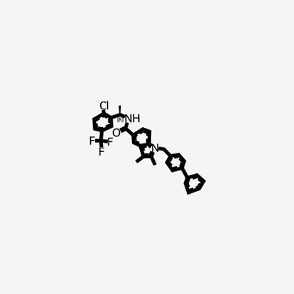 Cc1c(C)n(Cc2ccc(-c3ccccc3)cc2)c2ccc(C(=O)N[C@H](C)c3cc(C(F)(F)F)ccc3Cl)cc12